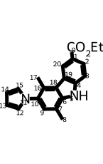 CCOC(=O)c1ccc2[nH]c3c(C)cc(-n4cccc4)c(C)c3c2c1